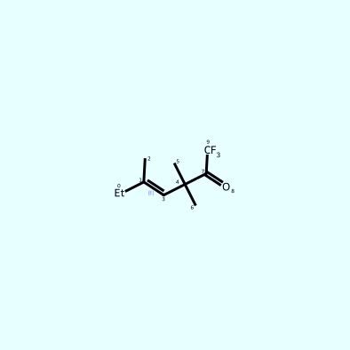 CC/C(C)=C/C(C)(C)C(=O)C(F)(F)F